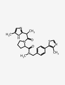 Cc1cnc(C(C)C(=O)N2CCCC2C(=O)N(C)Cc2ccc(-c3scnc3C)cc2)[nH]1